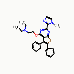 CCN(CC)CCOc1nc(-c2nccn2C)nc2sc(-c3ccccc3)c(C3=CC=CCC3)c12